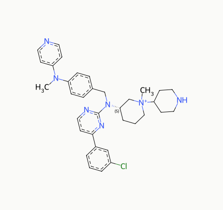 CN(c1ccncc1)c1ccc(CN(c2nccc(-c3cccc(Cl)c3)n2)[C@H]2CCC[N+](C)(C3CCNCC3)C2)cc1